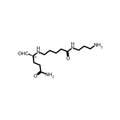 NCCCNC(=O)CCCCN[C@H]([C]=O)CCC(N)=O